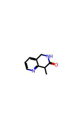 CC1C(=O)NCc2cccnc21